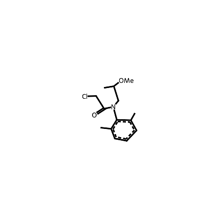 COC(C)CN(C(=O)CCl)c1c(C)cccc1C